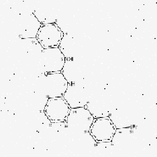 Cc1ccc(NC(=O)Nc2cccnc2Oc2cccc(C(C)C)c2)cc1C